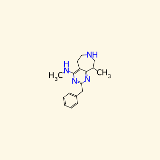 CNc1nc(Cc2ccccc2)nc2c1CCNCC2C